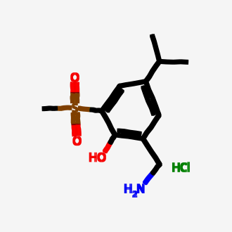 CC(C)c1cc(CN)c(O)c(S(C)(=O)=O)c1.Cl